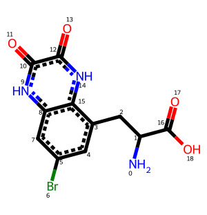 NC(Cc1cc(Br)cc2[nH]c(=O)c(=O)[nH]c12)C(=O)O